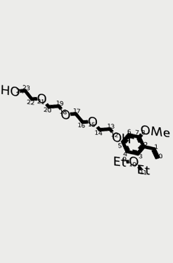 C=Cc1ccccc1OC.CCOCC.OCCOCCOCCOCCO